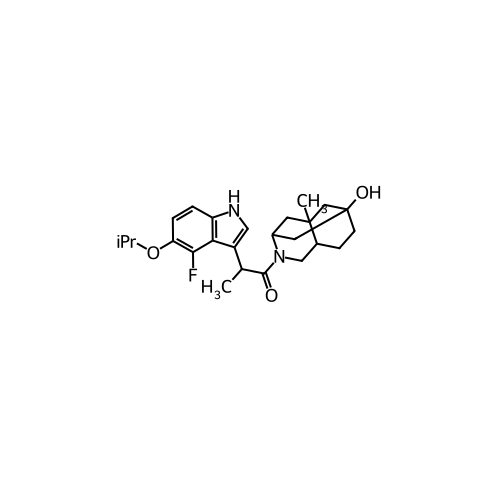 CC(C)Oc1ccc2[nH]cc(C(C)C(=O)N3CC4CCC5(O)CC3CC4(C)C5)c2c1F